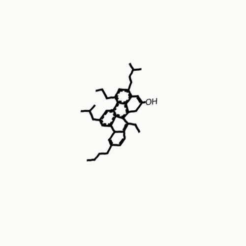 CCCCC1=CC2C(=C(CC)c3c4c5c(c(CCC(C)C)cc(CCC)c5c5cc(CC(C)C)cc2c35)C=C(O)C4)C=C1